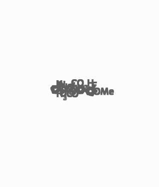 COc1ccc(-c2ccc(N([C@@H](CCn3nnc4ccccc4c3=O)C(=O)O)S(C)(=O)=O)cc2)cc1F